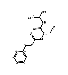 CCC(C)C(C=O)NC(=O)[C@H](CC(C)C)NC(=O)OCc1ccccc1